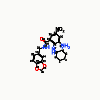 N[C@@H]1CCCC[C@H]1Nc1ccc([N+](=O)[O-])cc1C(=O)NCc1ccc2c(c1)OCO2